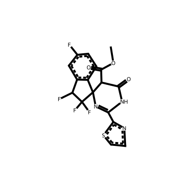 COC(=O)C1C(=O)NC(c2nccs2)=NC12c1ccc(F)cc1C(F)C2(F)F